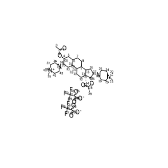 CC(=O)O[C@H]1CC2CCC3C(CC[C@@]4(C)C3C[C@H](N3CC[N+](C)(C)CC3)[C@@H]4OC(C)=O)[C@@]2(C)C[C@@H]1N1CC[N+](C)(C)CC1.O=S(=O)([O-])C(F)(F)F.O=S(=O)([O-])C(F)(F)F